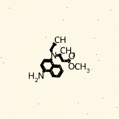 C#CCN(c1ccc(N)c2ccccc12)C(C)CC(=O)OC